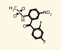 CS(=O)(=O)Nc1ccc([N+](=O)[O-])cc1C(=O)c1ccc(F)cc1F